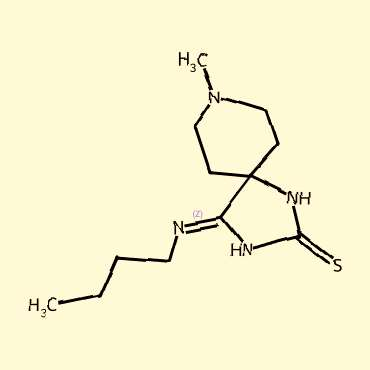 CCCC/N=C1\NC(=S)NC12CCN(C)CC2